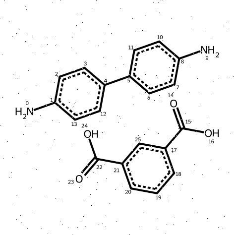 Nc1ccc(-c2ccc(N)cc2)cc1.O=C(O)c1cccc(C(=O)O)c1